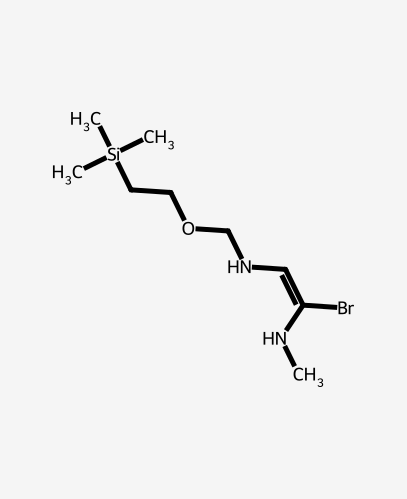 CN/C(Br)=C\NCOCC[Si](C)(C)C